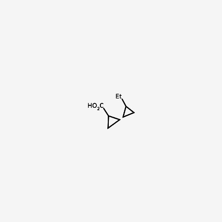 CCC1CC1.O=C(O)C1CC1